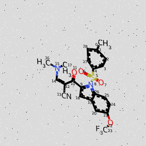 Cc1ccc(S(=O)(=O)n2c(C(=O)/C(C#N)=C\N(C)C)cc3cc(OC(F)(F)F)ccc32)cc1